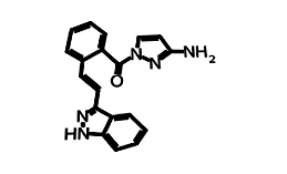 Nc1ccn(C(=O)c2ccccc2C=Cc2n[nH]c3ccccc23)n1